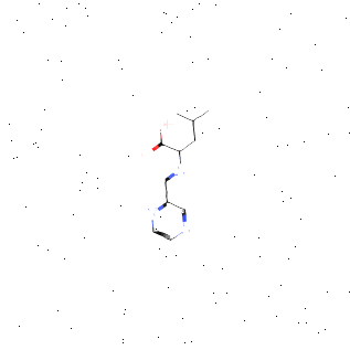 CC(C)CC(N=Cc1cnccn1)C(=O)O